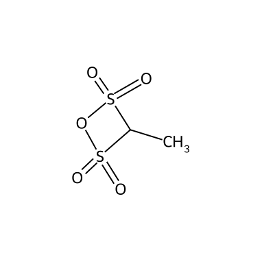 CC1S(=O)(=O)OS1(=O)=O